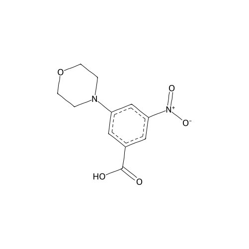 O=C(O)c1cc(N2CCOCC2)cc([N+](=O)[O-])c1